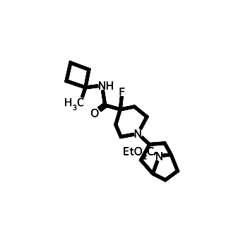 CCOC(=O)N1C2CCC1CC(N1CCC(F)(C(=O)NC3(C)CCC3)CC1)C2